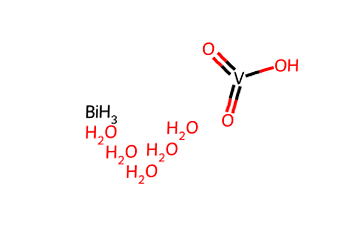 O.O.O.O.O.[BiH3].[O]=[V](=[O])[OH]